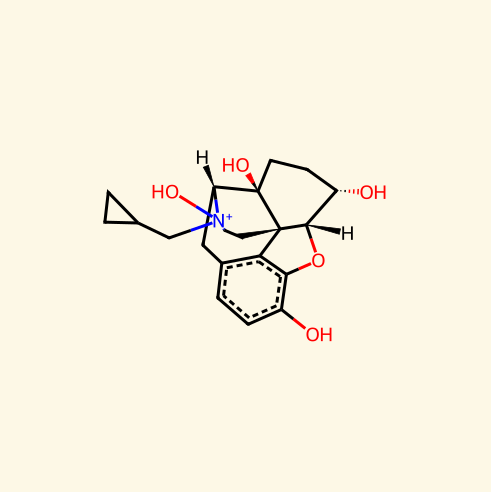 Oc1ccc2c3c1O[C@H]1[C@@H](O)CC[C@@]4(O)[C@@H](C2)[N+](O)(CC2CC2)CC[C@]314